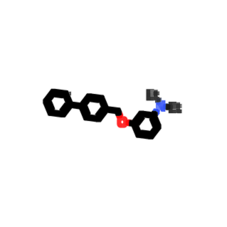 CCN(CC)c1cccc(OCc2ccc(-c3[c]cccc3)cc2)c1